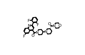 O=C(c1cc(-c2c(F)cccc2F)nc2ccc(F)cc12)N1CCC(N2CCC[C@@H](C(=O)N3CCOCC3)C2)CC1